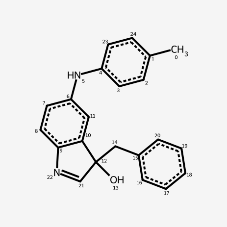 Cc1ccc(Nc2ccc3c(c2)C(O)(Cc2ccccc2)C=N3)cc1